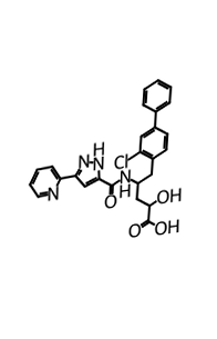 O=C(NC(Cc1ccc(-c2ccccc2)cc1Cl)CC(O)C(=O)O)c1cc(-c2ccccn2)n[nH]1